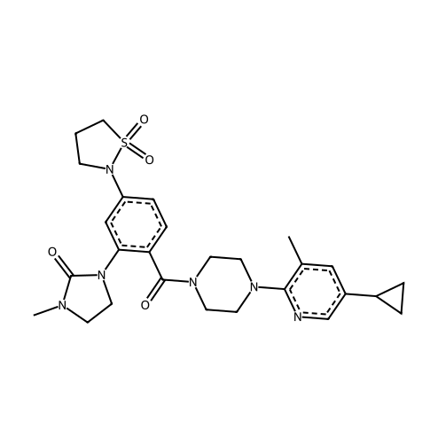 Cc1cc(C2CC2)cnc1N1CCN(C(=O)c2ccc(N3CCCS3(=O)=O)cc2N2CCN(C)C2=O)CC1